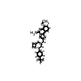 COc1cccc2c1nc(N)n1nc(CN(CCc3ccc(C(F)(F)F)cc3)CC3CCC3)nc21